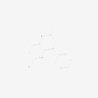 CC1=NC(c2ccccc2)c2c(ccn(C(C)C)c2=O)N1.Cl